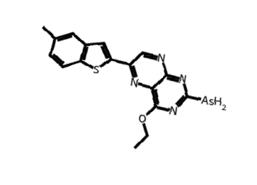 CCOc1nc([AsH2])nc2ncc(-c3cc4cc(C)ccc4s3)nc12